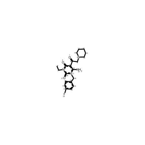 CCn1c(=O)c(C(=O)CN2CCCCC2)c(N)n(Cc2ccc(F)cc2)c1=O